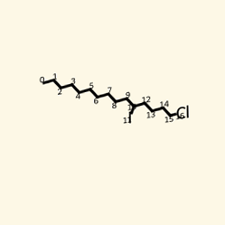 CCCCCCCCCCC(I)CCCCCl